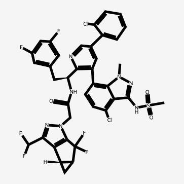 Cn1nc(NS(C)(=O)=O)c2c(Cl)ccc(-c3cc(-c4ccccc4Cl)cnc3[C@H](Cc3cc(F)cc(F)c3)NC(=O)Cn3nc(C(F)F)c4c3C(F)(F)C3C[C@H]43)c21